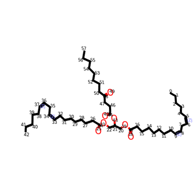 CCCCC/C=C\C/C=C\CCCCCCCC(=O)OCC(COC(=O)CCCCCCC/C=C\C/C=C\CCCCC)OC(=O)CCC(=O)CCCCCCCC